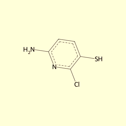 Nc1ccc(S)c(Cl)n1